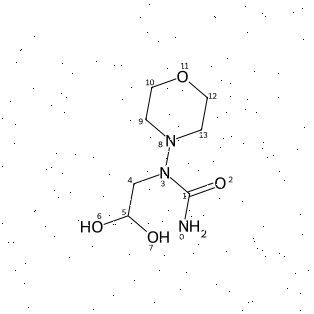 NC(=O)N(CC(O)O)N1CCOCC1